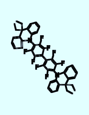 CCC1(CC)c2ccccc2N(c2c(F)c(F)c(-c3c(F)c(F)c(N4c5ccccc5C(CC)(CC)c5ccccc54)c(F)c3F)c(F)c2F)c2ccccc21